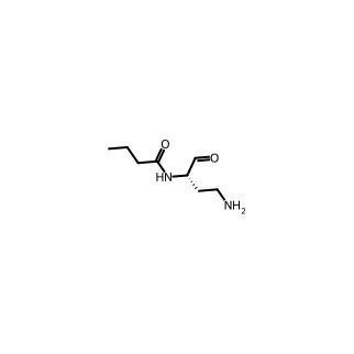 CCCC(=O)N[C@H](C=O)CCN